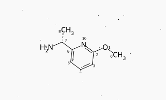 COc1cccc([C@@H](C)N)n1